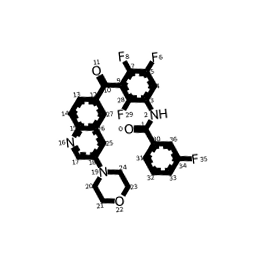 O=C(Nc1cc(F)c(F)c(C(=O)c2ccc3ncc(N4CCOCC4)cc3c2)c1F)c1cccc(F)c1